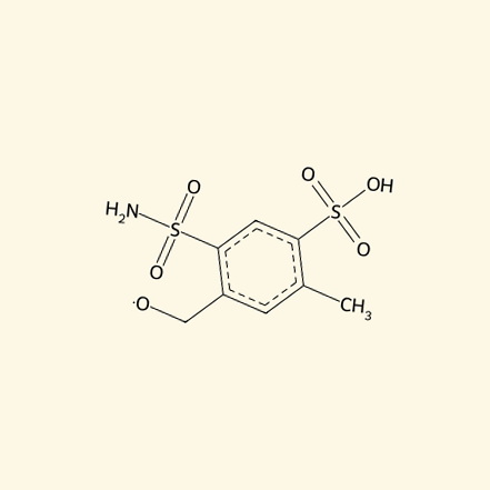 Cc1cc(C[O])c(S(N)(=O)=O)cc1S(=O)(=O)O